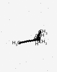 CCCCCCCCCCCCCCCCC(=O)Nc1cc(C(=O)NCCOC)ccc1SC